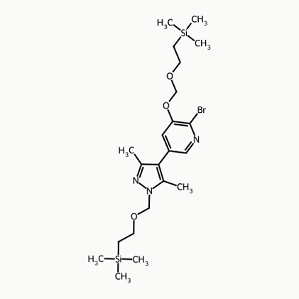 Cc1nn(COCC[Si](C)(C)C)c(C)c1-c1cnc(Br)c(OCOCC[Si](C)(C)C)c1